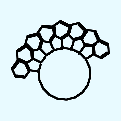 c1ccc(P2CCCCCCCCCCP(c3ccccc3)P(c3ccccc3)P(c3ccccc3)P(c3ccccc3)P(c3ccccc3)P(c3ccccc3)P2c2ccccc2)cc1